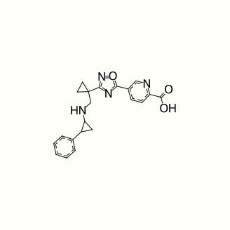 O=C(O)c1ccc(-c2nc(C3(CNC4CC4c4ccccc4)CC3)no2)cn1